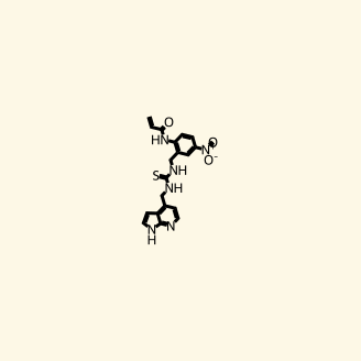 C=CC(=O)Nc1ccc([N+](=O)[O-])cc1CNC(=S)NCc1ccnc2[nH]ccc12